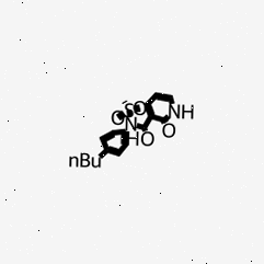 CCCCc1ccc(N(C(O)c2ccc[nH]c2=O)S(C)(=O)=O)cc1